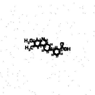 Cc1cc2ncc3c(c2cc1C)CCN(c1cccc(C(=O)O)c1)C3